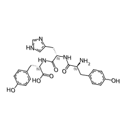 N[C@@H](Cc1ccc(O)cc1)C(=O)N[C@@H](Cc1c[nH]cn1)C(=O)N[C@@H](Cc1ccc(O)cc1)C(=O)O